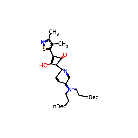 CCCCCCCCCCCC[N+](CCCCCCCCCCCC)=C1C=CC(C2C(=O)C(c3snc(C)c3C)=C2O)N=C1